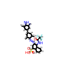 Cc1cc(-c2cc(C)c(/N=N/c3cc(S(=O)(=O)O)c4ccccc4c3NC(=O)C(F)(F)F)c(C)c2)cc(C)c1N